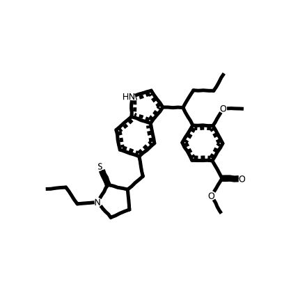 CCCC(c1ccc(C(=O)OC)cc1OC)c1c[nH]c2ccc(CC3CCN(CCC)C3=S)cc12